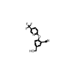 N#Cc1cc(CO)ccc1Oc1ccc(C(F)(F)F)cn1